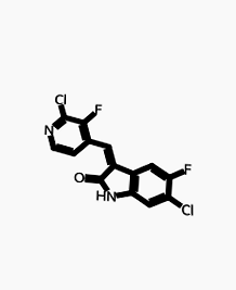 O=C1Nc2cc(Cl)c(F)cc2/C1=C/c1ccnc(Cl)c1F